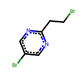 BrCCc1ncc(Br)cn1